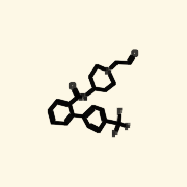 O=CCN1CCC(NC(=O)c2ccccc2-c2ccc(C(F)(F)F)cc2)CC1